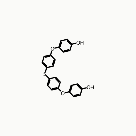 Oc1ccc(Oc2ccc(Sc3ccc(Oc4ccc(O)cc4)cc3)cc2)cc1